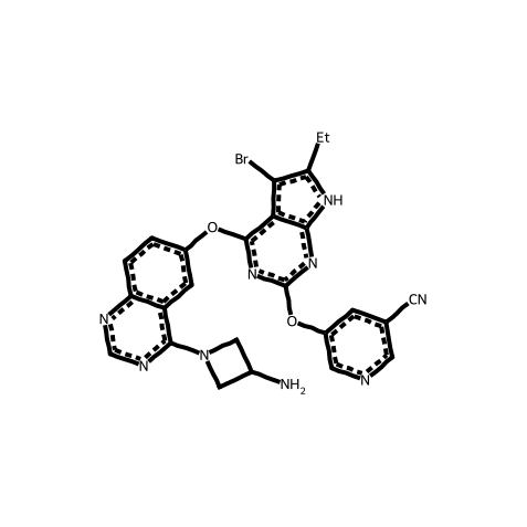 CCc1[nH]c2nc(Oc3cncc(C#N)c3)nc(Oc3ccc4ncnc(N5CC(N)C5)c4c3)c2c1Br